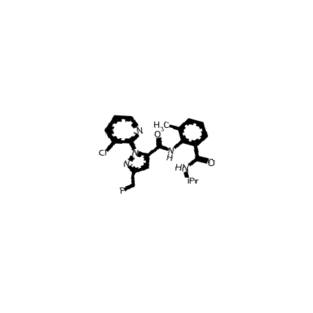 Cc1cccc(C(=O)NC(C)C)c1NC(=O)c1cc(CF)nn1-c1ncccc1Cl